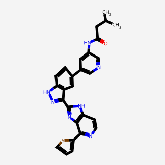 CC(C)CC(=O)Nc1cncc(-c2ccc3[nH]nc(-c4nc5c(-c6cccs6)nccc5[nH]4)c3c2)c1